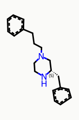 c1ccc(CCCN2CCN[C@@H](Cc3ccccc3)C2)cc1